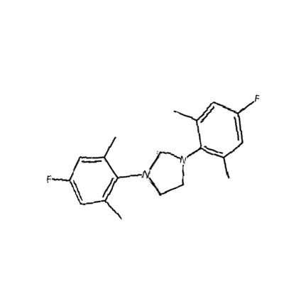 Cc1cc(F)cc(C)c1N1[C]N(c2c(C)cc(F)cc2C)CC1